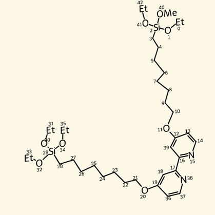 CCO[Si](CCCCCCCCOc1ccnc(-c2cc(OCCCCCCCC[Si](OCC)(OCC)OCC)ccn2)c1)(OC)OCC